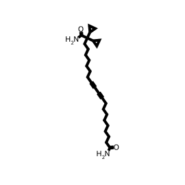 NC(=O)CCCCCCCCC#CC#CCCCCCCCC(C(N)=O)(C1CC1)C1CC1